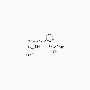 C[C@@H](CCc1ccccc1O[C@@H](C)CN=O)NC(=O)OC(C)(C)C